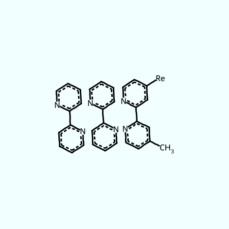 Cc1ccnc(-c2c[c]([Re])ccn2)c1.c1ccc(-c2ccccn2)nc1.c1ccc(-c2ccccn2)nc1